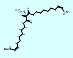 C=C(C(=O)CCCCCCC/C=C\CCCCCCCC)C(=O)CCCCCCC/C=C\CCCCCCCC.N.N